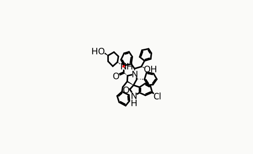 O=C(N[C@H]1CC[C@H](O)CC1)[C@H]1C(Cc2ccccc2)[C@@]2(C(=O)Nc3cc(Cl)ccc32)[C@@H](c2ccccc2)N1[C@H](c1ccccc1)[C@@H](O)c1ccccc1